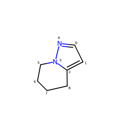 c1cc2n(n1)CCCC2